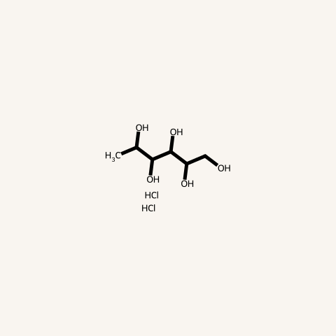 CC(O)C(O)C(O)C(O)CO.Cl.Cl